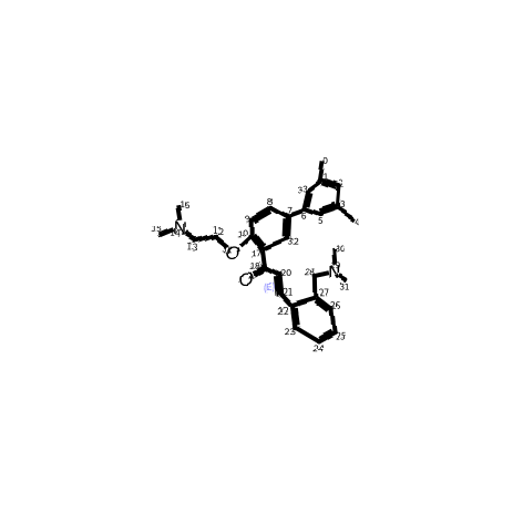 Cc1cc(C)cc(-c2ccc(OCCN(C)C)c(C(=O)/C=C/c3ccccc3CN(C)C)c2)c1